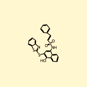 O=S(=O)(/C=C/c1ccccc1)Nc1cc(Sc2nc3ccccc3s2)c(O)c2ccccc12